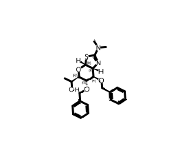 CC(O)[C@H]1O[C@@H]2SC(N(C)C)=N[C@@H]2[C@@H](OCc2ccccc2)[C@@H]1OCc1ccccc1